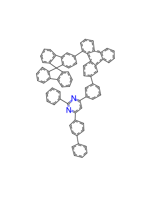 c1ccc(-c2ccc(-c3cc(-c4cccc(-c5ccc6c(c5)c5ccccc5c5cccc(-c7ccc8c(c7)-c7ccccc7C87c8ccccc8-c8ccccc87)c56)c4)nc(-c4ccccc4)n3)cc2)cc1